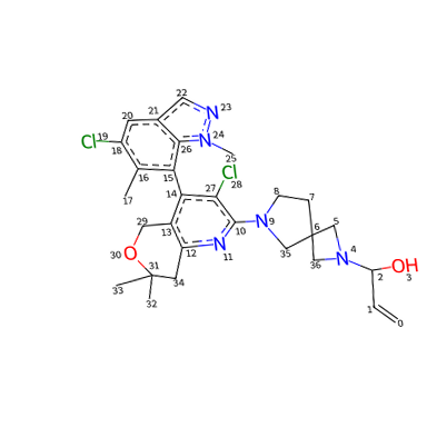 C=CC(O)N1CC2(CCN(c3nc4c(c(-c5c(C)c(Cl)cc6cnn(C)c56)c3Cl)COC(C)(C)C4)C2)C1